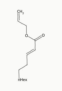 C=CCOC(=O)C=CCCCCCCCC